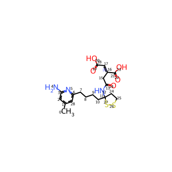 Cc1cc(N)nc(CCCCC2(NC(=O)C/C(=C\C(=O)O)C(=O)O)CCSS2)c1